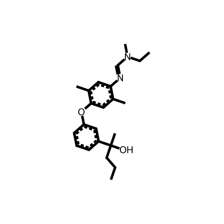 CCCC(C)(O)c1cccc(Oc2cc(C)c(N=CN(C)CC)cc2C)c1